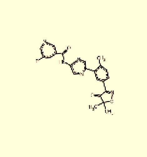 Cc1ccc(C2=NOC(C)(C)C2=O)cc1-c1cnc(NC(=O)c2cncc(F)c2)cn1